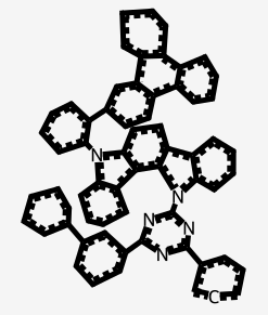 c1ccc(-c2cccc(-c3nc(-c4ccccc4)nc(-n4c5ccccc5c5ccc6c(c7ccccc7n6-c6ccccc6-c6ccc7c8ccccc8c8ccccc8c7c6)c54)n3)c2)cc1